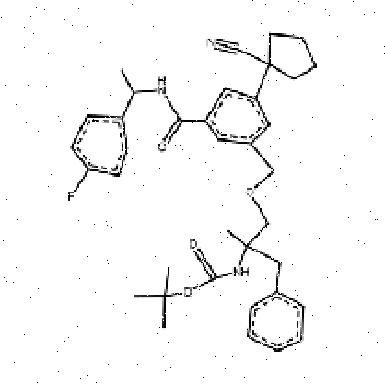 CC(NC(=O)c1cc(COCC(C)(Cc2ccccc2)NC(=O)OC(C)(C)C)cc(C2(C#N)CCCC2)c1)c1ccc(F)cc1